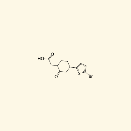 O=C(O)CC1CCC(c2ccc(Br)s2)CC1=O